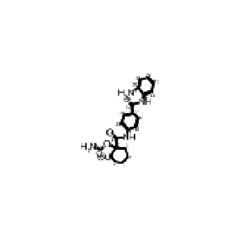 CC(C)(C)C1CCCCC1(OC(N)=O)C(=O)Nc1ccc(C(=O)Nc2ccccc2N)cc1